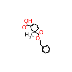 CC1(C(=O)OCCc2ccccc2)C=CC=C(C(=O)O)C1